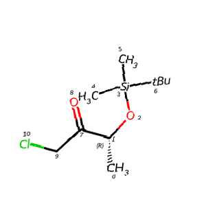 C[C@@H](O[Si](C)(C)C(C)(C)C)C(=O)CCl